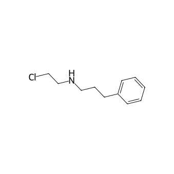 ClCCNCCCc1ccccc1